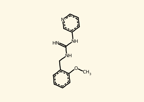 COc1ccccc1CNC(=N)Nc1cccnc1